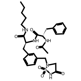 CCCCCNC(=O)[C@H](Cc1cccc(CN2CC(=O)NS2(=O)=O)c1)NC(=O)[C@H](Cc1ccccc1)NC(C)=O